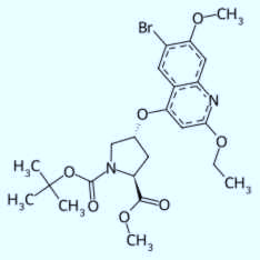 CCOc1cc(O[C@@H]2C[C@@H](C(=O)OC)N(C(=O)OC(C)(C)C)C2)c2cc(Br)c(OC)cc2n1